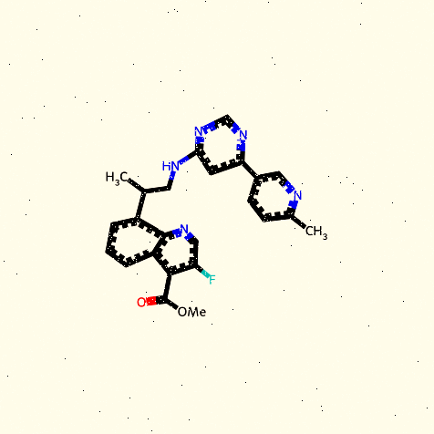 COC(=O)c1c(F)cnc2c(C(C)CNc3cc(-c4ccc(C)nc4)ncn3)cccc12